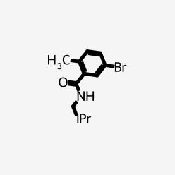 Cc1ccc(Br)cc1C(=O)NCC(C)C